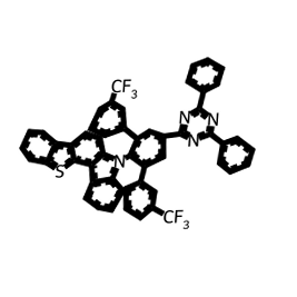 FC(F)(F)c1cccc(-c2cc(-c3nc(-c4ccccc4)nc(-c4ccccc4)n3)cc(-c3cccc(C(F)(F)F)c3)c2-n2c3ccccc3c3c4sc5ccccc5c4ccc32)c1